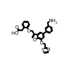 NCc1cccc(-c2cc(OCc3nccs3)c3occ(COc4ccccc4CC(=O)O)c3c2)c1